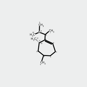 CC1CCC=C(C(C)N(C)C)[C@@H](C)C1